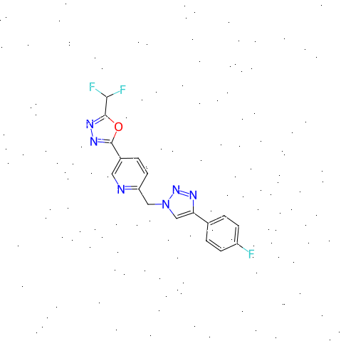 Fc1ccc(-c2cn(Cc3ccc(-c4nnc(C(F)F)o4)cn3)nn2)cc1